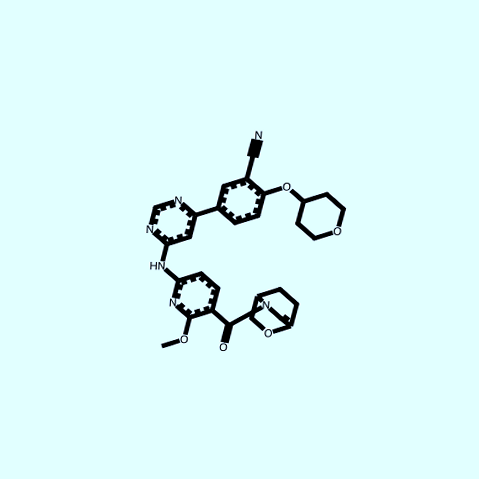 COc1nc(Nc2cc(-c3ccc(OC4CCOCC4)c(C#N)c3)ncn2)ccc1C(=O)N1C=C2CCC1CO2